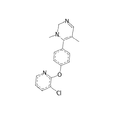 CC1=C(c2ccc(Oc3ncccc3Cl)cc2)N(C)CN=C1